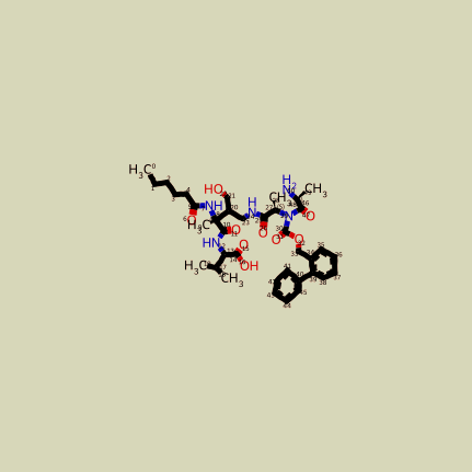 CCCCCC(=O)N[C@@](C)(C(=O)NC(C(=O)O)C(C)C)C(CO)CNC(=O)[C@H](C)N(C(=O)OCc1ccccc1-c1ccccc1)C(=O)[C@H](C)N